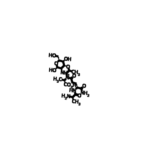 CC(CN(C(=O)CC[C@@H](NC(=O)[C@@H](C)N)C(N)=O)[C@@H](C)C(=O)O)O[C@@H]1[C@@H](N)[C@@H](O)O[C@H](CO)[C@H]1O